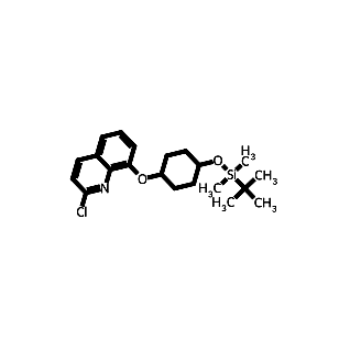 CC(C)(C)[Si](C)(C)OC1CCC(Oc2cccc3ccc(Cl)nc23)CC1